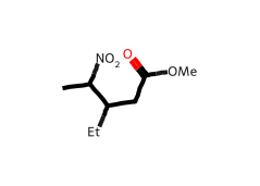 CCC(CC(=O)OC)C(C)[N+](=O)[O-]